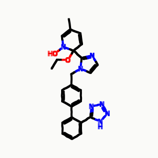 CCOC1(c2nccn2Cc2ccc(-c3ccccc3-c3nnn[nH]3)cc2)C=CC(C)=CN1O